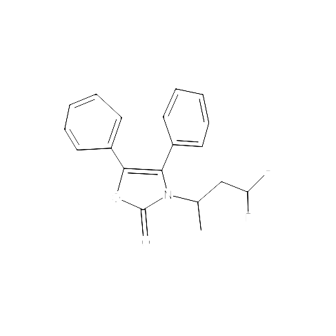 CC(CC(F)F)n1c(-c2ccccc2)c(-c2ccccc2)oc1=O